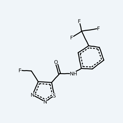 O=C(Nc1cccc(C(F)(F)F)c1)c1snnc1CF